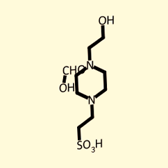 O=CO.O=S(=O)(O)CCN1CCN(CCO)CC1